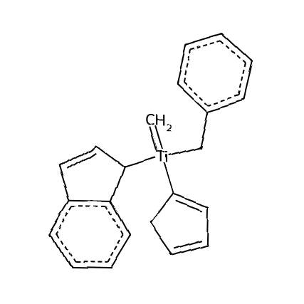 [CH2]=[Ti]([CH2]c1ccccc1)([C]1=CC=CC1)[CH]1C=Cc2ccccc21